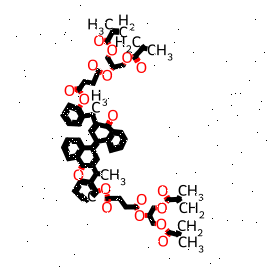 C=C(C)C(=O)OCC(COC(=O)C(=C)C)OC(=O)CCC(=O)Oc1ccccc1C(C)C1=C/C(=C2/C=C(C(C)c3ccccc3OC(=O)CCC(=O)OC(COC(=O)C(=C)C)COC(=O)C(=C)C)C(=O)c3ccccc32)c2ccccc2C1=O